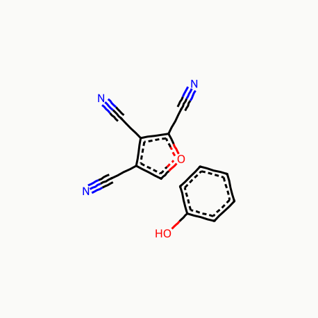 N#Cc1coc(C#N)c1C#N.Oc1ccccc1